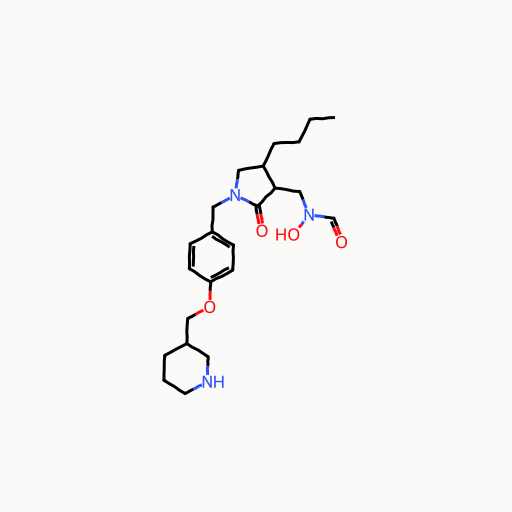 CCCCC1CN(Cc2ccc(OCC3CCCNC3)cc2)C(=O)C1CN(O)C=O